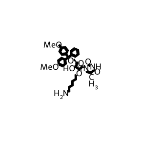 COc1ccc(C(OC[C@H]2O[C@@H](n3cc(C)c(=O)[nH]c3=O)[C@H](OCCCCCCN)[C@@H]2O)(c2ccccc2)c2ccc(OC)cc2)cc1